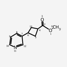 COC(=O)C1CC(c2cccnc2)C1